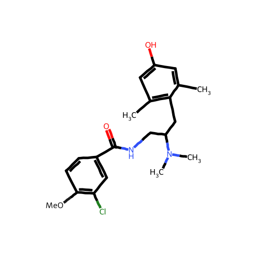 COc1ccc(C(=O)NCC(Cc2c(C)cc(O)cc2C)N(C)C)cc1Cl